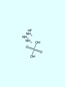 F.N.N.N.O=S(=O)(O)O